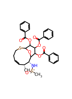 C[C@@H]1/C=C\CCSC2OC(C(OC(=O)c3ccccc3)C(OC(=O)c3ccccc3)C2OC(=O)c2ccccc2)[C@@H]1N[S@@+](C)[O-]